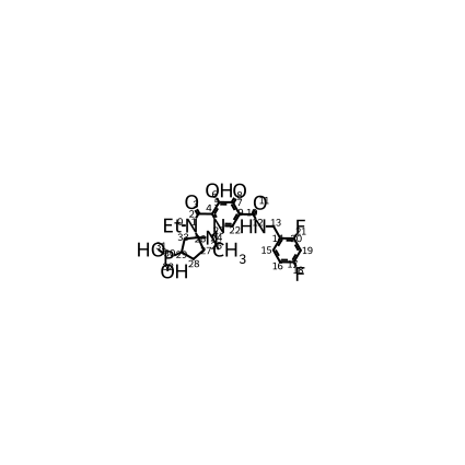 CCN1C(=O)c2c(O)c(=O)c(C(=O)NCc3ccc(F)cc3F)cn2N(C)C12CCC(P(O)O)C2